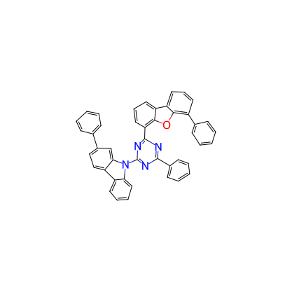 c1ccc(-c2ccc3c4ccccc4n(-c4nc(-c5ccccc5)nc(-c5cccc6c5oc5c(-c7ccccc7)cccc56)n4)c3c2)cc1